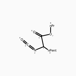 CCCCCC(N=C=O)C(=O)OCCC